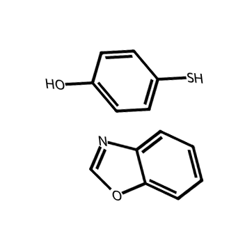 Oc1ccc(S)cc1.c1ccc2ocnc2c1